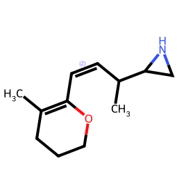 CC1=C(/C=C\C(C)C2CN2)OCCC1